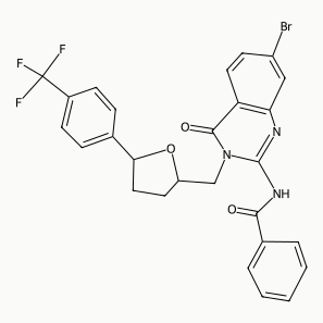 O=C(Nc1nc2cc(Br)ccc2c(=O)n1CC1CCC(c2ccc(C(F)(F)F)cc2)O1)c1ccccc1